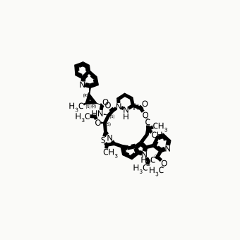 CCO[C@@H]1C2=NC(c3ccc4c(c3)c(c(-c3cccnc3[C@H](C)OC)n4CC)CC(C)(C)COC(=O)[C@@H]3CCCN(N3)C(=O)[C@H]1NC(=O)[C@@H]1[C@@H](C)[C@H]1c1ccc3ccccc3n1)C(C)S2